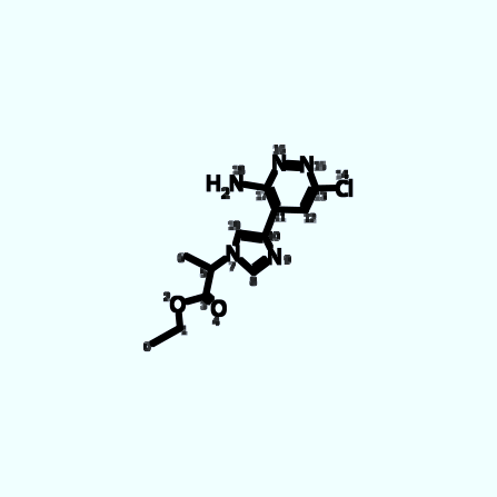 CCOC(=O)C(C)n1cnc(-c2cc(Cl)nnc2N)c1